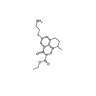 CCOC(=O)c1cn2c3c(cc(SCCN)cc3c1=O)CCC2C